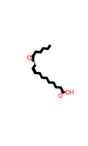 CCCCCC1O[C@H]1C/C=C\CCCCCCCC(=O)O